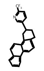 FC(F)(F)c1ccc(C2CCc3ccc4c(ccc5ccccc54)c3C2)cn1